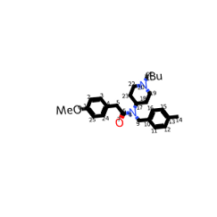 COc1ccc(CC(=O)N(Cc2ccc(C)cc2)C2CCN(C(C)(C)C)CC2)cc1